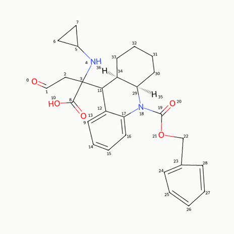 O=CCC(NC1CC1)(C(=O)O)C1c2ccccc2N(C(=O)OCc2ccccc2)[C@@H]2CCCC[C@H]12